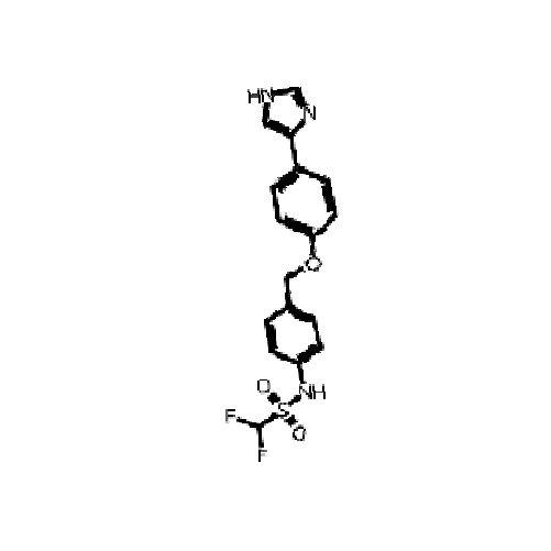 O=S(=O)(Nc1ccc(COc2ccc(-c3c[nH]cn3)cc2)cc1)C(F)F